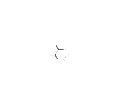 NC(=O)C(N)=O.NN